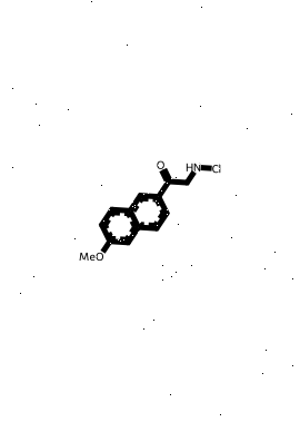 COc1ccc2cc(C(=O)CNCl)ccc2c1